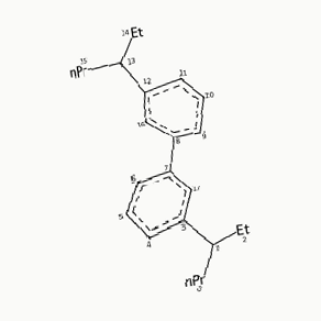 CCCC(CC)c1cc[c]c(-c2[c]ccc(C(CC)CCC)c2)c1